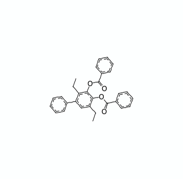 CCc1cc(-c2ccccc2)c(CC)c(OC(=O)c2ccccc2)c1OC(=O)c1ccccc1